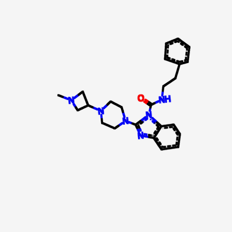 CN1CC(N2CCN(c3nc4ccccc4n3C(=O)NCCc3ccccc3)CC2)C1